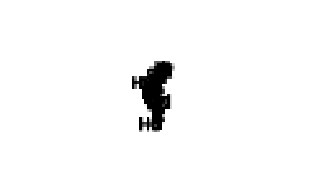 O=C1NC2=Nc3ccc(OCCO)c(Cl)c3CN2C1Cc1ccccc1